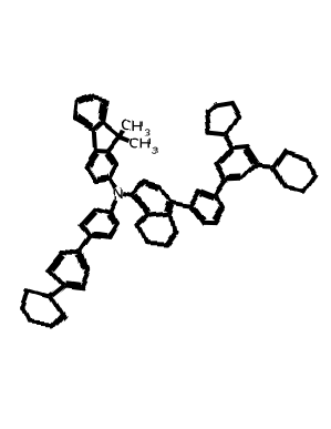 CC1(C)c2ccccc2-c2ccc(N(c3ccc(-c4ccc(C5CCCCC5)cc4)cc3)c3ccc(-c4cccc(-c5cc(C6CCCCC6)cc(C6CCCCC6)c5)c4)c4c3CCCC4)cc21